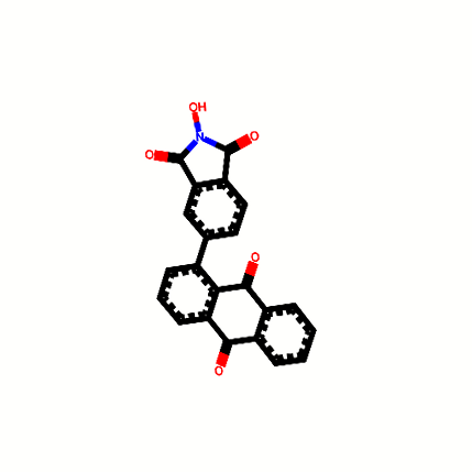 O=C1c2ccccc2C(=O)c2c1cccc2-c1ccc2c(c1)C(=O)N(O)C2=O